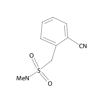 CNS(=O)(=O)Cc1ccccc1C#N